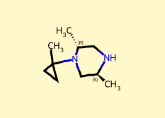 C[C@@H]1CN[C@@H](C)CN1C1(C)CC1